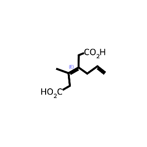 C=CC/C(CC(=O)O)=C(/C)CC(=O)O